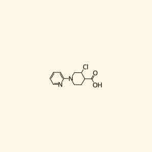 O=C(O)C1CCN(c2ccccn2)CC1Cl